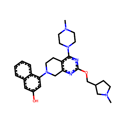 CN1CCN(c2nc(OCC3CCN(C)C3)nc3c2CCN(c2cc(O)cc4ccccc24)C3)CC1